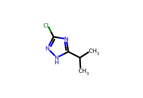 CC(C)c1nc(Cl)n[nH]1